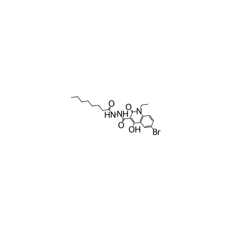 CCCCCCCC(=O)NNC(=O)c1c(O)c2cc(Br)ccc2n(CC)c1=O